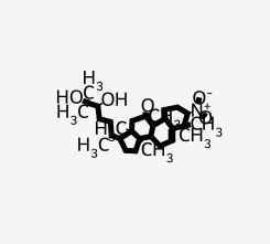 C[C@H](CC[C@@H](O)C(C)(C)O)C1CC[C@@]2(C)C3CC=C4C(CC[C@H]([N+](=O)[O-])C4(C)C)[C@]3(C)C(=O)C[C@]12C